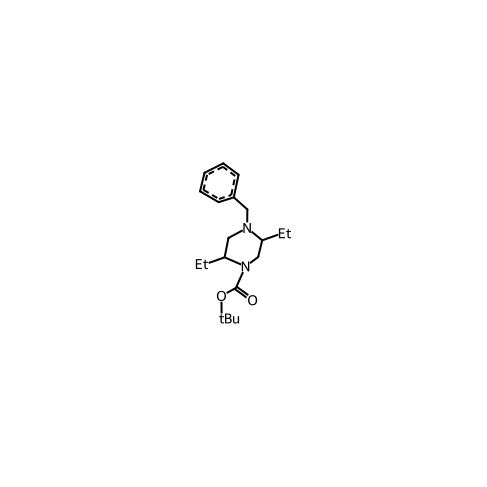 CCC1CN(C(=O)OC(C)(C)C)C(CC)CN1Cc1ccccc1